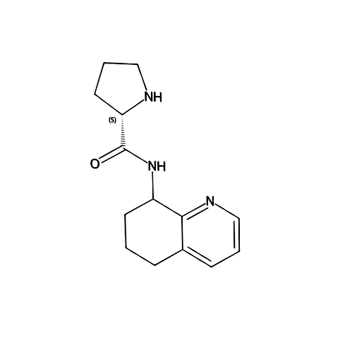 O=C(NC1CCCc2cccnc21)[C@@H]1CCCN1